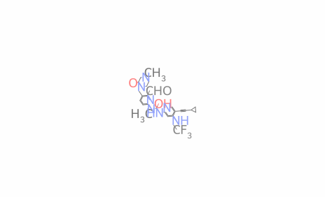 CN1CCN(Cc2ccc(N(C)C(O)Nc3cc(NCC(F)(F)F)c(C#CC4CC4)cn3)nc2C=O)C(=O)C1